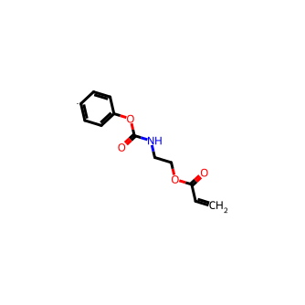 C=CC(=O)OCCNC(=O)Oc1cc[c]cc1